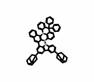 c1ccc(C2(c3ccccc3)c3ccccc3N3c4c(cccc42)B2c4c(cc5ccccc5c43)-c3cc(C45CC6CC(CC(C6)C4)C5)cc4c5cc(C67CC8CC(CC(C8)C6)C7)ccc5n2c34)cc1